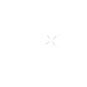 O[Si](O)(O)O.[PbH2].[Ti].[Zr]